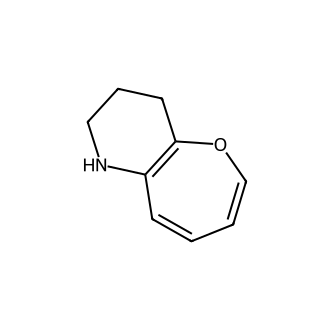 C1=COC2=C(C=C1)NCCC2